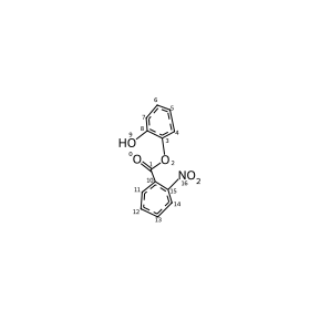 O=C(Oc1ccccc1O)c1ccccc1[N+](=O)[O-]